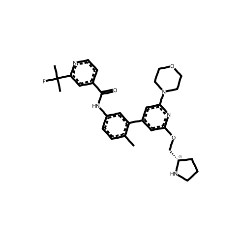 Cc1ccc(NC(=O)c2ccnc(C(C)(C)F)c2)cc1-c1cc(OC[C@@H]2CCCN2)nc(N2CCOCC2)c1